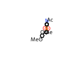 CO[C@H]1CC[C@@](OC)(c2cccc(S(=O)(=O)c3ccc(N(C)C(C)=O)cc3)c2)CC1